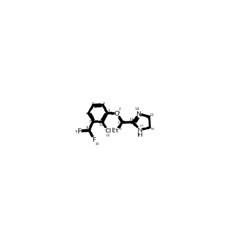 CCC(Oc1cccc(C(F)F)c1Cl)C1=NCCN1